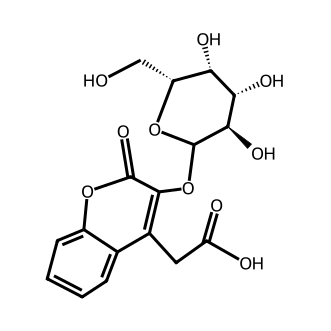 O=C(O)Cc1c(OC2O[C@H](CO)[C@H](O)[C@H](O)[C@H]2O)c(=O)oc2ccccc12